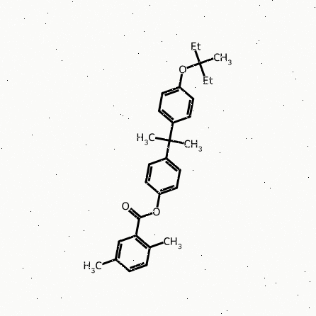 CCC(C)(CC)Oc1ccc(C(C)(C)c2ccc(OC(=O)c3cc(C)ccc3C)cc2)cc1